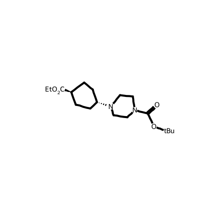 CCOC(=O)[C@H]1CC[C@H](N2CCN(C(=O)OC(C)(C)C)CC2)CC1